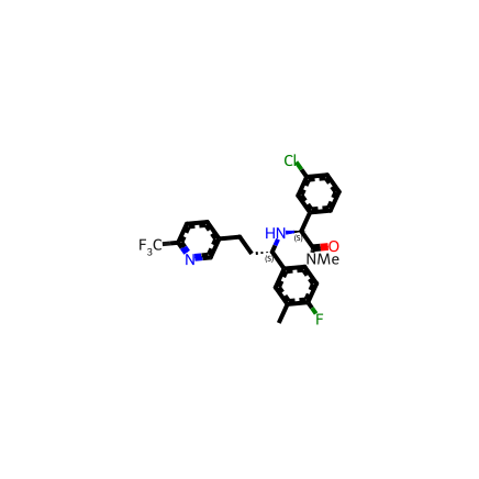 CNC(=O)[C@@H](N[C@@H](CCc1ccc(C(F)(F)F)nc1)c1ccc(F)c(C)c1)c1cccc(Cl)c1